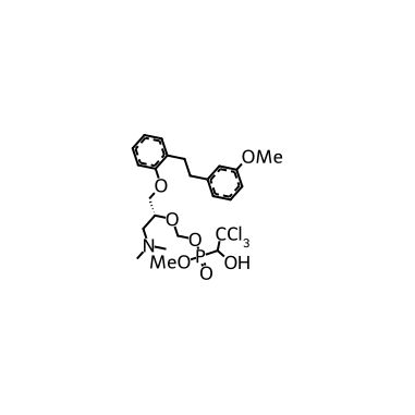 COc1cccc(CCc2ccccc2OC[C@@H](CN(C)C)OCOP(=O)(OC)C(O)C(Cl)(Cl)Cl)c1